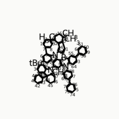 CC(C)(C)c1ccc2c(c1)-c1ccc(cc1)C1(C)CCC(C)(C)c3cc4c(cc31)N2c1cc(N2c3ccccc3C3(c5ccccc5)CCCCC23C)cc2c1B4c1cc(-c3ccccc3)ccc1N2c1ccc(-c2ccccc2)cc1